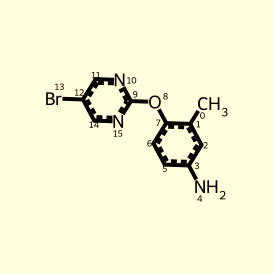 Cc1cc(N)ccc1Oc1ncc(Br)cn1